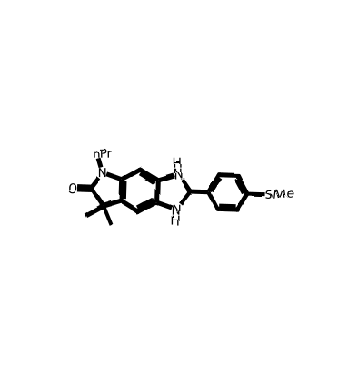 CCCN1C(=O)C(C)(C)c2cc3c(cc21)NC(c1ccc(SC)cc1)N3